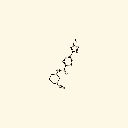 Cc1nc(-c2ccc(C(=O)NC3CCCN(C)C3)cc2)no1